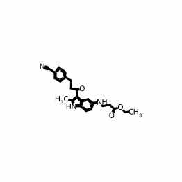 CCOC(=O)CCNc1ccc2[nH]c(C)c(C(=O)CCc3ccc(C#N)cc3)c2c1